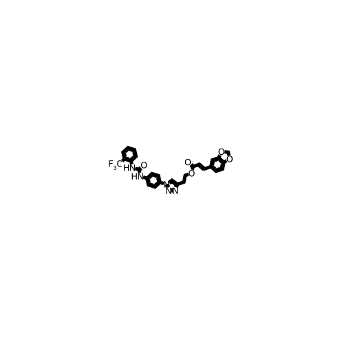 O=C(Nc1ccc(-n2cc(CCOC(=O)C=Cc3ccc4c(c3)OCO4)nn2)cc1)Nc1ccccc1C(F)(F)F